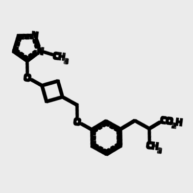 CC(Cc1cccc(OCC2CC(Oc3ccnn3C)C2)c1)C(=O)O